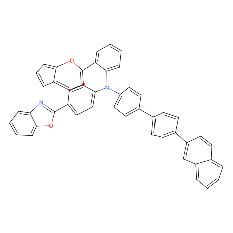 c1cc2ccc(-c3ccccc3N(c3ccc(-c4ccc(-c5ccc6ccccc6c5)cc4)cc3)c3ccc(-c4nc5ccccc5o4)cc3)oc-2c1